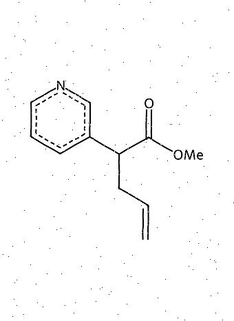 C=CCC(C(=O)OC)c1cccnc1